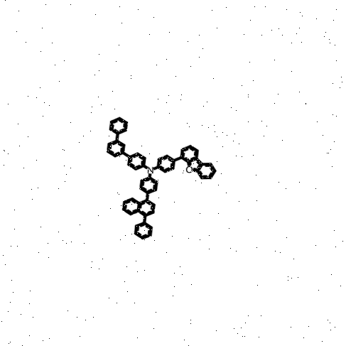 c1ccc(-c2cccc(-c3ccc(N(c4ccc(-c5ccc(-c6ccccc6)c6ccccc56)cc4)c4ccc(-c5cccc6c5oc5ccccc56)cc4)cc3)c2)cc1